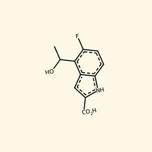 CC(O)c1c(F)ccc2[nH]c(C(=O)O)cc12